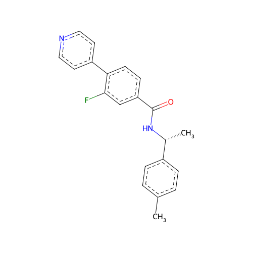 Cc1ccc([C@@H](C)NC(=O)c2ccc(-c3ccncc3)c(F)c2)cc1